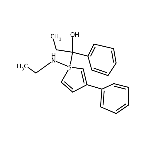 CCNS1(C(O)(CC)c2ccccc2)C=CC(c2ccccc2)=C1